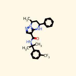 CC1CC(c2ccccc2)Nc2c(C(=O)NC(C)(C)c3cccc(C(F)(F)F)c3)cnn21